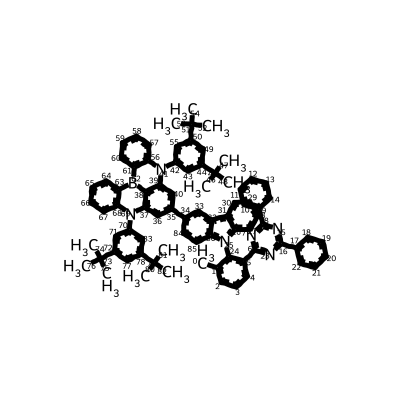 Cc1cccc(-c2nc(-c3ccccc3)nc(-c3ccccc3)n2)c1-n1c2ccccc2c2cc(-c3cc4c5c(c3)N(c3cc(C(C)(C)C)cc(C(C)(C)C)c3)c3ccccc3B5c3ccccc3N4c3cc(C(C)(C)C)cc(C(C)(C)C)c3)ccc21